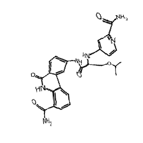 CC(C)OC[C@H](Nc1ccnc(C(N)=O)c1)C(=O)Nc1ccc2c(=O)[nH]c3c(C(N)=O)cccc3c2c1